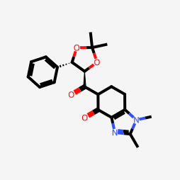 Cc1nc2c(n1C)CCC(C(=O)[C@@H]1OC(C)(C)O[C@H]1c1ccccc1)C2=O